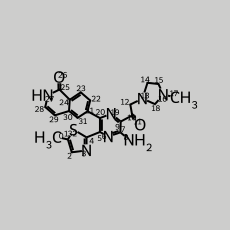 Cc1cnc(-c2nc(N)c(C(=O)CN3CCN(C)C3)nc2-c2ccc3c(=O)[nH]ccc3c2)s1